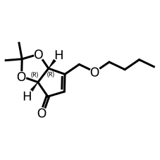 CCCCOCC1=CC(=O)[C@@H]2OC(C)(C)O[C@H]12